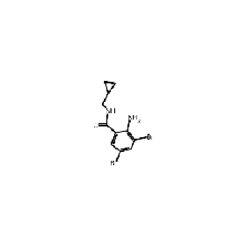 Nc1c(Br)cc(Br)cc1C(=O)NCC1CC1